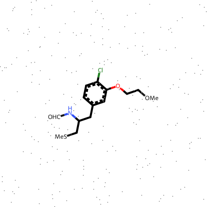 COCCOc1cc(CC(CSC)NC=O)ccc1Cl